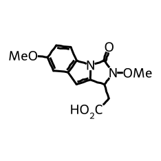 COc1ccc2c(c1)cc1n2C(=O)N(OC)C1CC(=O)O